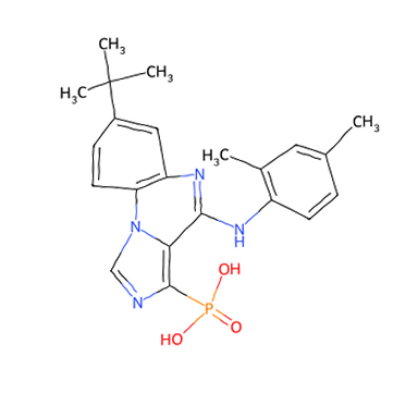 Cc1ccc(Nc2nc3cc(C(C)(C)C)ccc3n3cnc(P(=O)(O)O)c23)c(C)c1